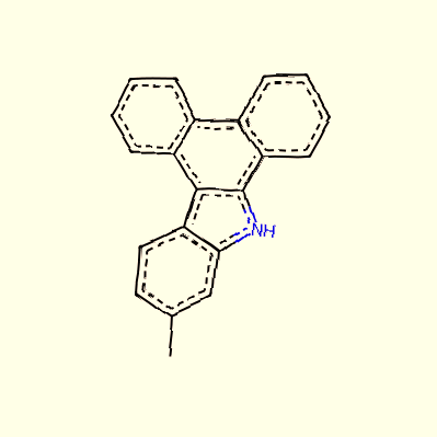 Cc1ccc2c(c1)[nH]c1c3ccccc3c3ccccc3c21